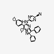 COc1ccc(-c2c(Nc3cnc(C#N)cn3)nc3c(-c4ccccc4)c(-c4ccccc4)nn3c2OC)cc1